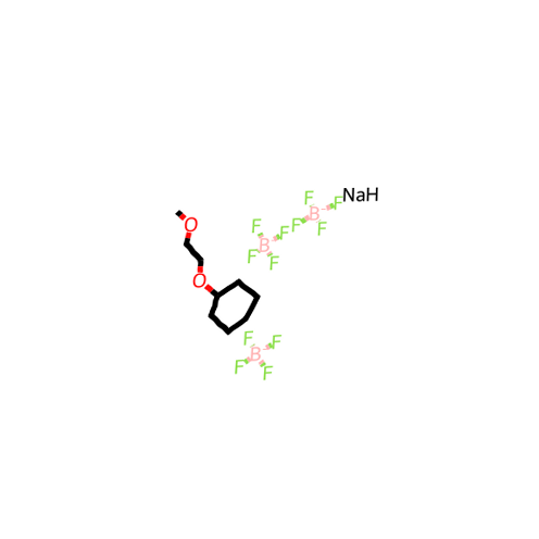 COCCOC1CCCCC1.F[B-](F)(F)F.F[B-](F)(F)F.F[B-](F)(F)F.[NaH]